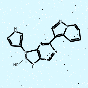 O[C@H]1Nc2cnc(-c3cnn4ccccc34)nc2N1c1cc[nH]c1